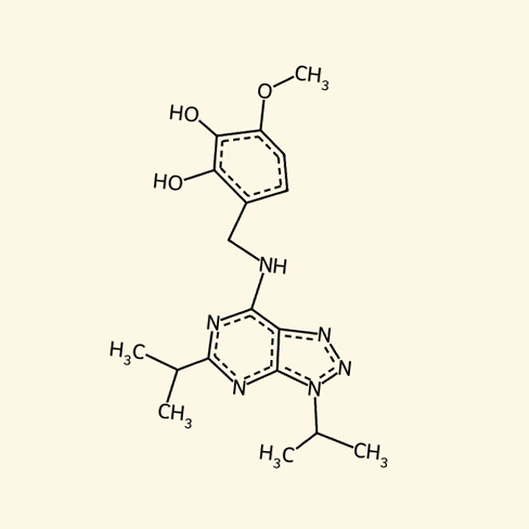 COc1ccc(CNc2nc(C(C)C)nc3c2nnn3C(C)C)c(O)c1O